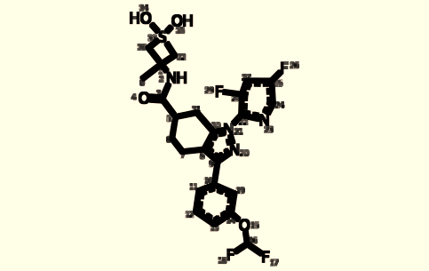 CC1(NC(=O)C2CCc3c(-c4cccc(OC(F)F)c4)nn(-c4ncc(F)cc4F)c3C2)CS(O)(O)C1